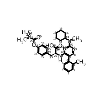 Cc1ccccc1-c1cnc(N(C)C2CCCCC2)nc1N[C@@H](Cc1ccc(OC(=O)N(C)C)cc1)C(=O)O